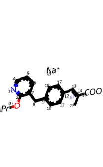 CCCOc1ncccc1Cc1ccc(/C=C(\C)C(=O)[O-])cc1.[Na+]